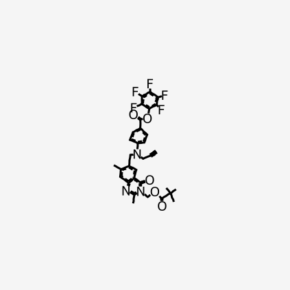 C#CCN(Cc1cc2c(=O)n(COC(=O)C(C)(C)C)c(C)nc2cc1C)c1ccc(C(=O)Oc2c(F)c(F)c(F)c(F)c2F)cc1